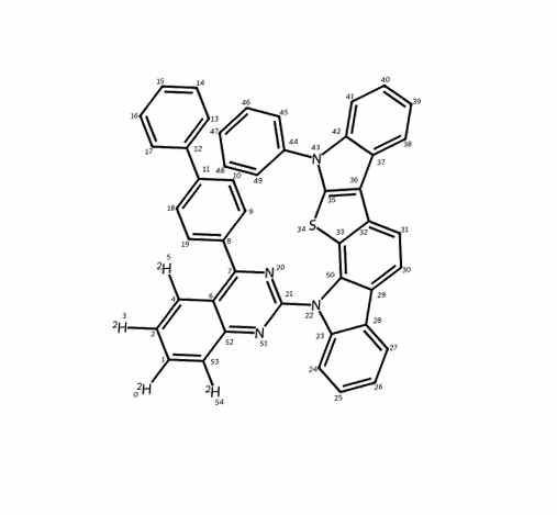 [2H]c1c([2H])c([2H])c2c(-c3ccc(-c4ccccc4)cc3)nc(-n3c4ccccc4c4ccc5c(sc6c5c5ccccc5n6-c5ccccc5)c43)nc2c1[2H]